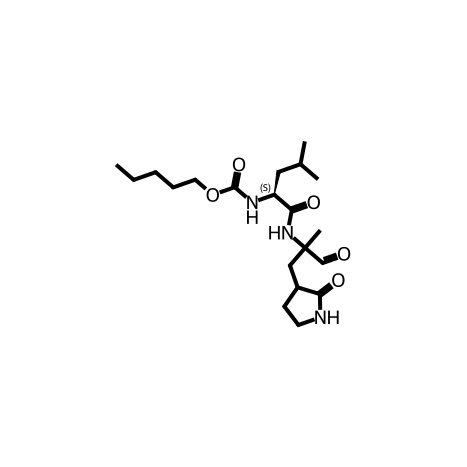 CCCCCOC(=O)N[C@@H](CC(C)C)C(=O)NC(C)(C=O)CC1CCNC1=O